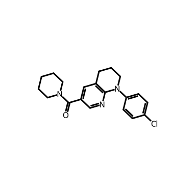 O=C(c1cnc2c(c1)CCCN2c1ccc(Cl)cc1)N1CCCCC1